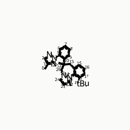 Cc1cnn(-c2ccccc2C2(C)Cc3cccc(C(C)(C)C)c3-n3ncc[n+]3C2)n1